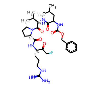 CC(C)CC(NC(=O)OCc1ccccc1)C(=O)N[C@H](C(=O)N1CCC[C@H]1C(=O)N[C@@H](CCCNC(=N)N)C(=O)CF)C(C)C